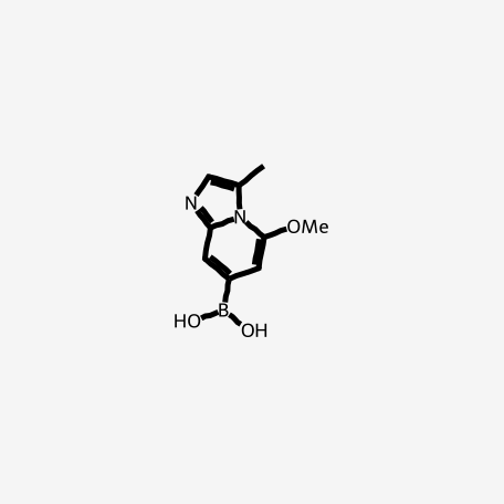 COc1cc(B(O)O)cc2ncc(C)n12